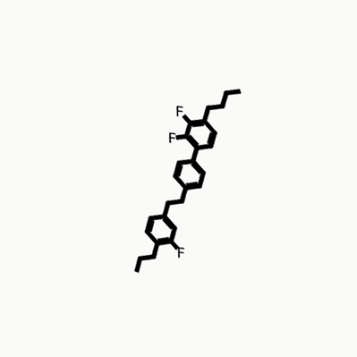 CCCCc1ccc(-c2ccc(CCc3ccc(CCC)c(F)c3)cc2)c(F)c1F